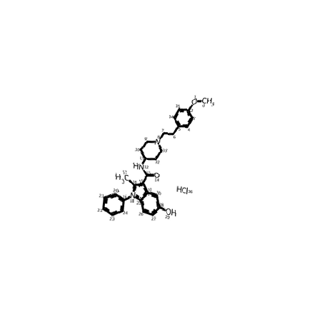 COc1ccc(CCN2CCC(NC(=O)c3c(C)n(-c4ccccc4)c4ccc(O)cc34)CC2)cc1.Cl